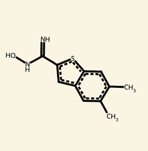 Cc1cc2cc(C(=N)NO)sc2cc1C